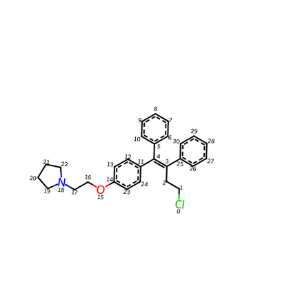 ClCC/C(=C(/c1ccccc1)c1ccc(OCCN2CCCC2)cc1)c1ccccc1